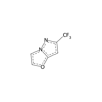 FC(F)(F)c1cc2occn2n1